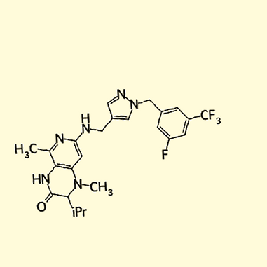 Cc1nc(NCc2cnn(Cc3cc(F)cc(C(F)(F)F)c3)c2)cc2c1NC(=O)C(C(C)C)N2C